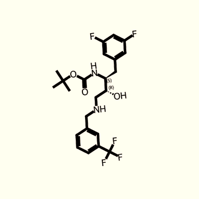 CC(C)(C)OC(=O)N[C@@H](Cc1cc(F)cc(F)c1)[C@H](O)CNCc1cccc(C(F)(F)F)c1